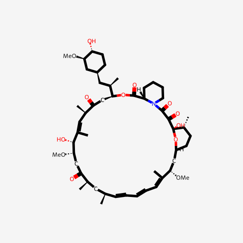 CO[C@H]1C[C@@H]2CC[C@@H](C)[C@@](O)(O2)C(=O)C(=O)N2CCCC[C@H]2C(=O)O[C@H]([C@H](C)C[C@@H]2CC[C@@H](O)[C@H](OC)C2)CC(=O)[C@H](C)/C=C(\C)[C@@H](O)[C@@H](OC)CC(=O)[C@H](C)C[C@H](C)/C=C/C=C/C=C/1C